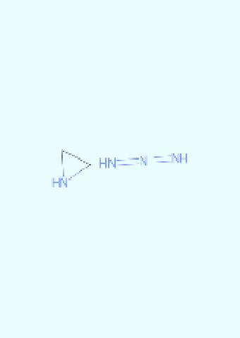 C1CN1.N=[N+]=N